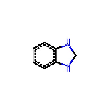 [C]1Nc2ccccc2N1